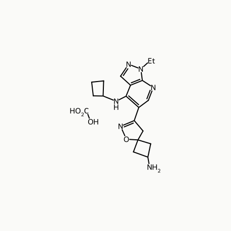 CCn1ncc2c(NC3CCC3)c(C3=NOC4(C3)CC(N)C4)cnc21.O=C(O)O